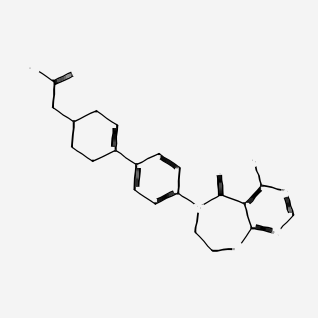 Nc1ncnc2c1C(=O)N(c1ccc(C3=CCC(CC(=O)O)CC3)cc1)CCO2